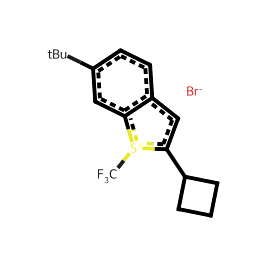 CC(C)(C)c1ccc2cc(C3CCC3)[s+](C(F)(F)F)c2c1.[Br-]